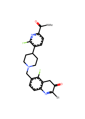 CCC1=Nc2ccc(CN3CCC(c4ccc(C(=O)NC)nc4F)CC3)c(F)c2CC1=O